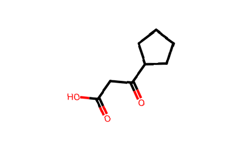 O=C(O)CC(=O)C1CCCC1